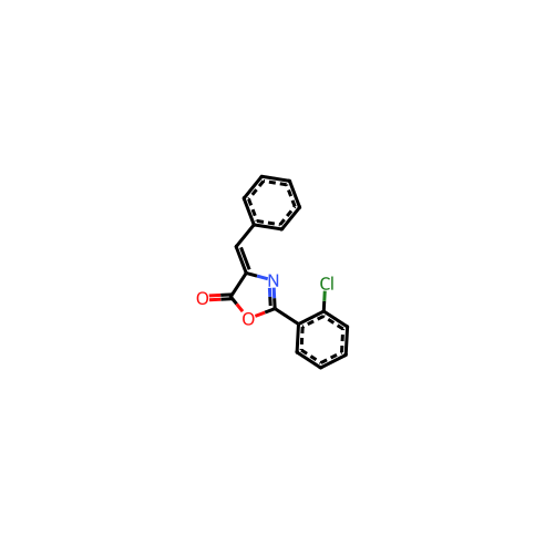 O=C1OC(c2ccccc2Cl)=N/C1=C\c1ccccc1